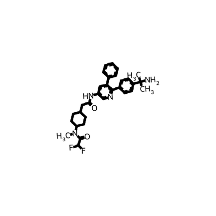 CN(C(=O)C(F)F)C1CCC(CC(=O)Nc2cnc(-c3ccc(C(C)(C)N)cc3)c(-c3ccccc3)c2)CC1